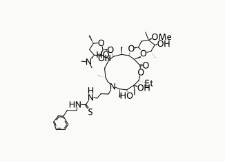 CC[C@H]1OC(=O)[C@H](C)[C@@H](O[C@H]2C[C@@](C)(OC)[C@@H](O)[C@H](C)O2)[C@H](C)[C@@H](O[C@@H]2O[C@H](C)C[C@H](N(C)C)[C@H]2O)[C@](C)(O)C[C@@H](C)CN(CCCNC(=S)NCCc2ccccc2)[C@H](C)[C@@H](O)[C@@]1(O)I